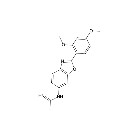 COc1ccc(-c2nc3ccc(NC(C)=N)cc3o2)c(OC)c1